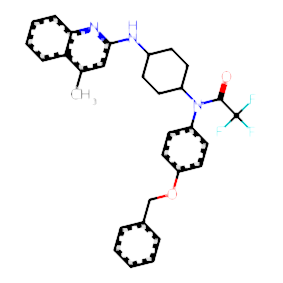 Cc1cc(NC2CCC(N(C(=O)C(F)(F)F)c3ccc(OCc4ccccc4)cc3)CC2)nc2ccccc12